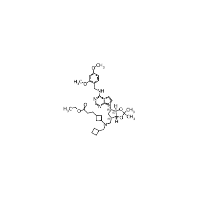 CCOC(=O)CCC1CC(N(CC2CCC2)C[C@H]2C[C@@H](n3ccc4c(NCc5ccc(OC)cc5OC)ncnc43)[C@@H]3OC(C)(C)O[C@H]23)C1